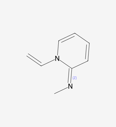 C=Cn1cccc/c1=N/C